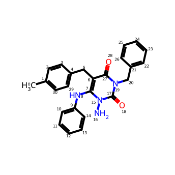 Cc1ccc(Cc2c(Nc3ccccc3)n(N)c(=O)n(Cc3ccccc3)c2=O)cc1